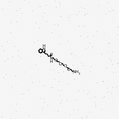 NCCOCCOCCOCCOCCNC(=O)CCCc1c[nH]c2ccccc12